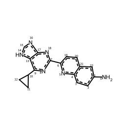 Nc1ccc2nc(-c3nc(C4CC4)c4[nH]cnc4n3)ccc2c1